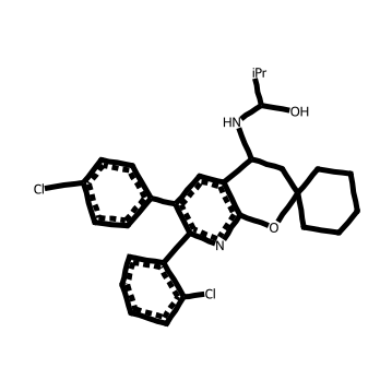 CC(C)C(O)NC1CC2(CCCCC2)Oc2nc(-c3ccccc3Cl)c(-c3ccc(Cl)cc3)cc21